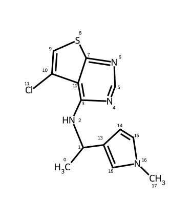 CC(Nc1ncnc2scc(Cl)c12)c1ccn(C)c1